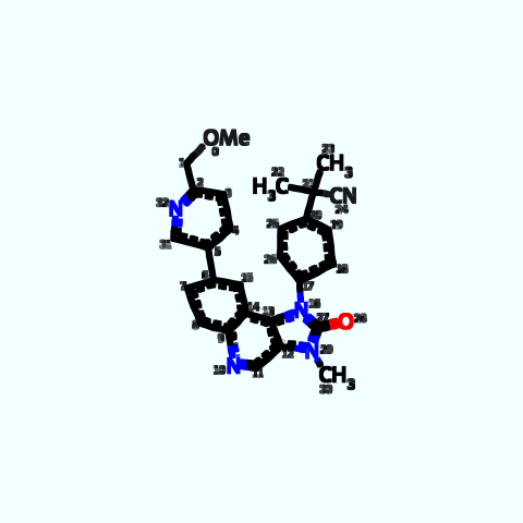 COCc1ccc(-c2ccc3ncc4c(c3c2)n(-c2ccc(C(C)(C)C#N)cc2)c(=O)n4C)cn1